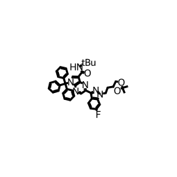 CC(C)(C)NC(=O)c1cn(C(c2ccccc2)(c2ccccc2)c2ccccc2)c2ncc(-c3nn(CCC4COC(C)(C)O4)c4cc(F)ccc34)nc12